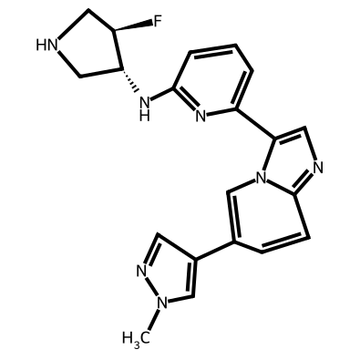 Cn1cc(-c2ccc3ncc(-c4cccc(N[C@@H]5CNC[C@H]5F)n4)n3c2)cn1